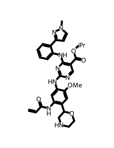 C=CC(=O)Nc1cc(Nc2ncc(C(=O)OC(C)C)c(Nc3ccccc3-c3ccn(C)n3)n2)c(OC)cc1C1CNCCO1